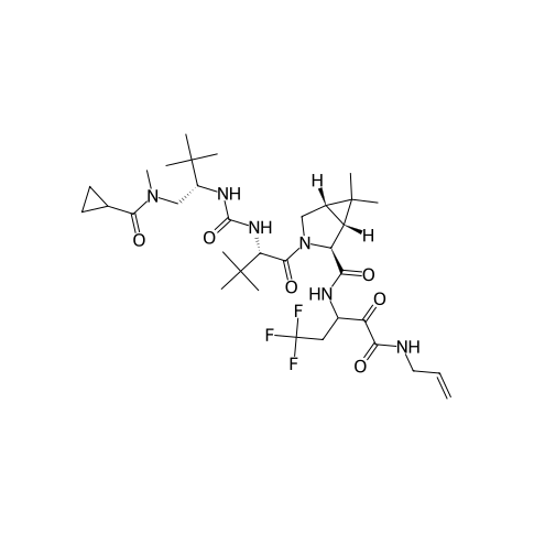 C=CCNC(=O)C(=O)C(CC(F)(F)F)NC(=O)[C@@H]1[C@@H]2[C@H](CN1C(=O)[C@@H](NC(=O)N[C@H](CN(C)C(=O)C1CC1)C(C)(C)C)C(C)(C)C)C2(C)C